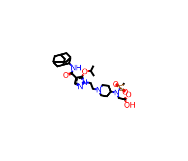 CC(C)Oc1c(C(=O)NC2C3CC4CC(C3)CC2C4)cnn1CCN1CCC(N(CC(=O)O)S(C)(=O)=O)CC1